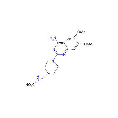 COc1cc2nc(N3CCC(CNC(=O)O)CC3)nc(N)c2cc1OC